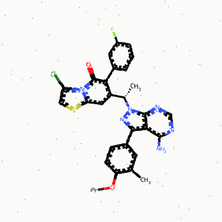 Cc1cc(-c2nn([C@@H](C)c3cc4scc(Cl)n4c(=O)c3-c3cccc(F)c3)c3ncnc(N)c23)ccc1OC(C)C